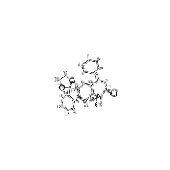 O=c1cc(-c2ccccc2)c2cc(C3(c4ccccc4)OCCO3)ccc2[nH]1